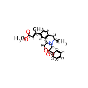 COC(=O)C=C(C)c1ccc(CC(C)N2CCOC(O)(c3ccccc3)C2)cc1